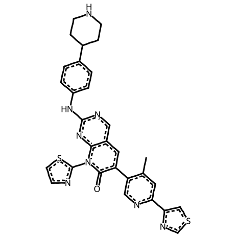 Cc1cc(-c2cscn2)ncc1-c1cc2cnc(Nc3ccc(C4CCNCC4)cc3)nc2n(-c2nccs2)c1=O